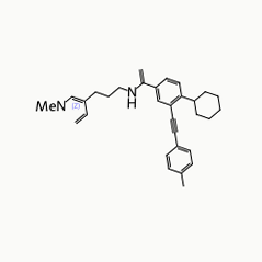 C=C/C(=C\NC)CCCNC(=C)c1ccc(C2CCCCC2)c(C#Cc2ccc(C)cc2)c1